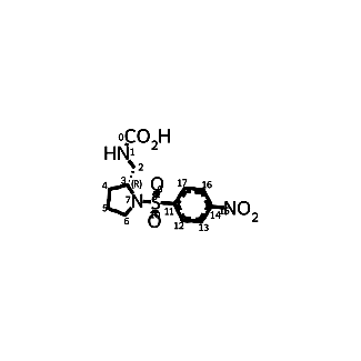 O=C(O)NC[C@H]1CCCN1S(=O)(=O)c1ccc([N+](=O)[O-])cc1